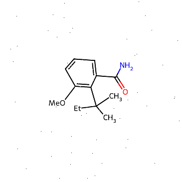 CCC(C)(C)c1c(OC)cccc1C(N)=O